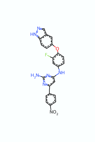 Nc1nc(Nc2ccc(Oc3ccc4[nH]ncc4c3)c(F)c2)cc(-c2ccc([N+](=O)[O-])cc2)n1